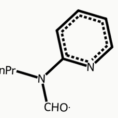 CCCN([C]=O)c1ccccn1